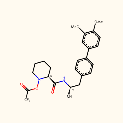 COc1ccc(-c2ccc(C[C@@H](C#N)NC(=O)[C@@H]3CCCCN3OC(=O)C(F)(F)F)cc2)cc1OC